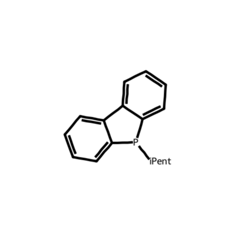 CCCC(C)p1c2ccccc2c2ccccc21